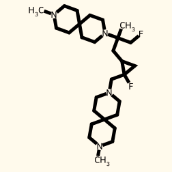 CN1CCC2(CC1)CCN(CC1(F)CC1CC(C)(CF)N1CCC3(CCN(C)CC3)CC1)CC2